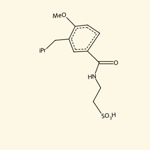 COc1ccc(C(=O)NCCS(=O)(=O)O)cc1CC(C)C